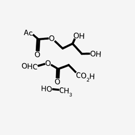 CC(=O)C(=O)OCC(O)CO.CO.O=COC(=O)CC(=O)O